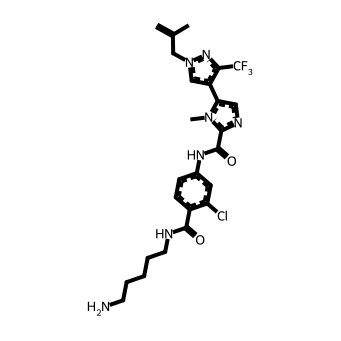 C=C(C)Cn1cc(-c2cnc(C(=O)Nc3ccc(C(=O)NCCCCCN)c(Cl)c3)n2C)c(C(F)(F)F)n1